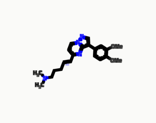 COc1ccc(-c2cnn3ccc(/C=C/CCCN(C)C)nc23)cc1OC